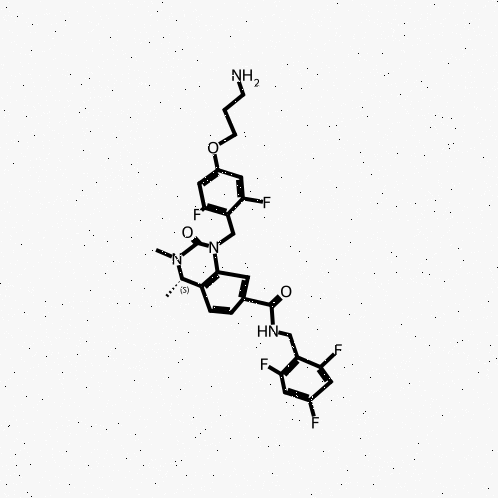 C[C@H]1c2ccc(C(=O)NCc3c(F)cc(F)cc3F)cc2N(Cc2c(F)cc(OCCCN)cc2F)C(=O)N1C